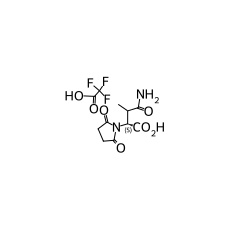 CC(C(N)=O)[C@@H](C(=O)O)N1C(=O)CCC1=O.O=C(O)C(F)(F)F